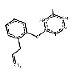 C=CCc1ccccc1On1pn[pH][nH][pH]1